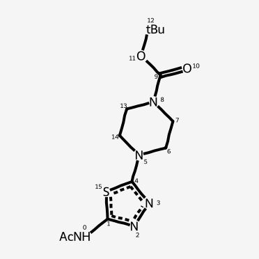 CC(=O)Nc1nnc(N2CCN(C(=O)OC(C)(C)C)CC2)s1